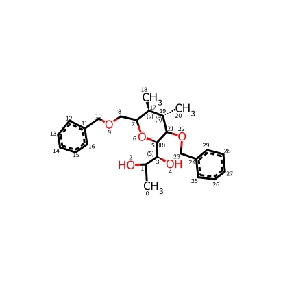 CC(O)[C@H](O)[C@H]1OC(COCc2ccccc2)[C@@H](C)[C@H](C)C1OCc1ccccc1